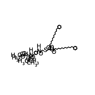 CC(C)(C)OC(=O)CCC(NC(=O)c1ccc(NC(=O)CCSCC(COC(=O)CCCCCCCCCCCc2ccccc2)OC(=O)CCCCCCCCCCCc2ccccc2)cc1)C(=O)OC(C)(C)C